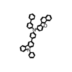 c1ccc(-c2cccc(N(c3ccc(-c4ccc5c(c4)c4ccccc4n5-c4ccccc4)cc3)c3ccc4oc5c6ccccc6ccc5c4c3)c2)cc1